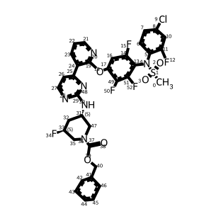 CS(=O)(=O)N(c1ccc(Cl)cc1F)c1c(F)cc(Oc2ncccc2-c2ccnc(N[C@H]3C[C@H](F)CN(C(=O)OCc4ccccc4)C3)n2)c(F)c1F